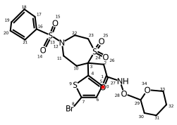 O=C(CC1(c2ccc(Br)s2)CCN(S(=O)(=O)c2ccccc2)CCS1(=O)=O)NOC1CCCCO1